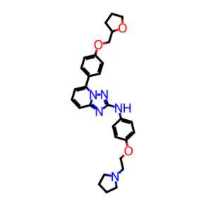 c1cc(-c2ccc(OCC3CCCO3)cc2)n2nc(Nc3ccc(OCCN4CCCC4)cc3)nc2c1